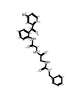 O=C(CNC(=O)OCc1ccccc1)NCC(=O)Nc1ccccc1C(=O)c1cc(Br)ccn1